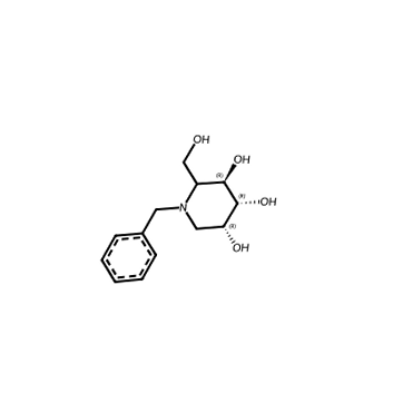 OCC1[C@@H](O)[C@H](O)[C@H](O)CN1Cc1ccccc1